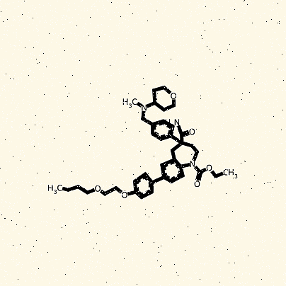 CCCCOCCOc1ccc(-c2ccc3c(c2)CC(C(N)=O)(c2ccc(CN(C)C4CCOCC4)cc2)CCN3C(=O)OCC)cc1